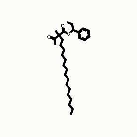 CCCCCCCCCCCCCCCCC(C)(C(C)=O)C(=O)OC(CC)c1ccccc1